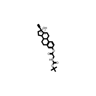 C#C[C@]1(O)CCC2C3CCc4cc(OC(=O)CNC(=O)OC(C)(C)C)ccc4C3CC[C@@]21C